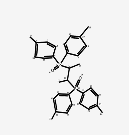 Cc1ccc(P(=O)(c2ccc(C)cc2)C(C)C(C)P(=O)(c2ccc(C)cc2)c2ccc(C)cc2)cc1